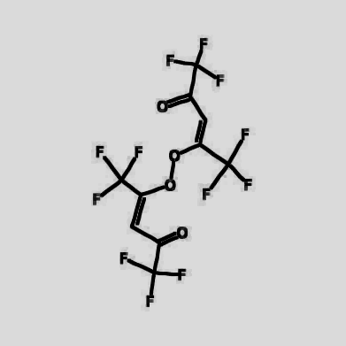 O=C(/C=C(\OO/C(=C\C(=O)C(F)(F)F)C(F)(F)F)C(F)(F)F)C(F)(F)F